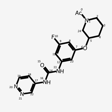 CC(=O)N1CCCC(Oc2cc(F)cc(NC(=O)Nc3ccnnc3)c2)C1